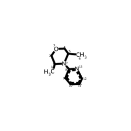 CC1COCC(C)N1c1cc[c]cn1